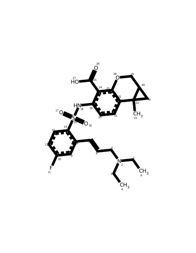 CCN(CC)CC=Cc1cc(F)ccc1S(=O)(=O)Nc1ccc2c(c1C(=O)O)OCC1CC21C